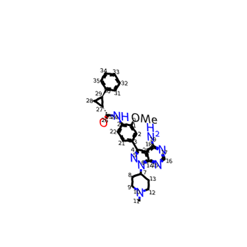 COc1cc(-c2nn(C3CCN(C)CC3)c3ncnc(N)c23)ccc1NC(=O)[C@@H]1C[C@H]1c1ccccc1